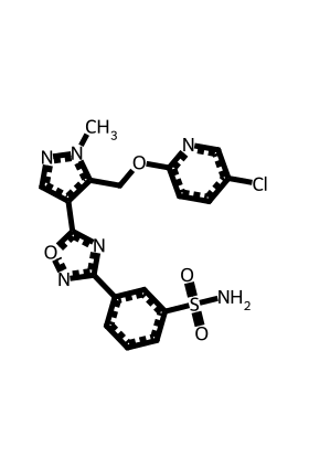 Cn1ncc(-c2nc(-c3cccc(S(N)(=O)=O)c3)no2)c1COc1ccc(Cl)cn1